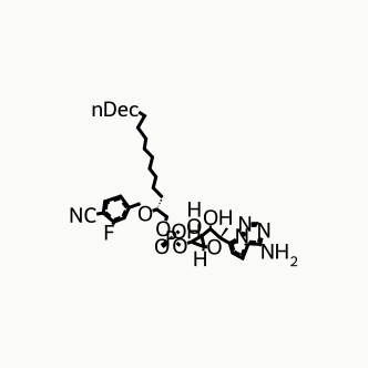 CCCCCCCCCCCCCCCCCCC[C@H](COP(=O)(O)OC1[C@H]2O[C@@](C)(c3ccc4c(N)ncnn34)[C@H](O)[C@@]12O)OCc1ccc(C#N)c(F)c1